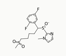 Cn1ccnc1[S+]([O-])C(CCCCS(C)(=O)=O)c1cc(F)ccc1F